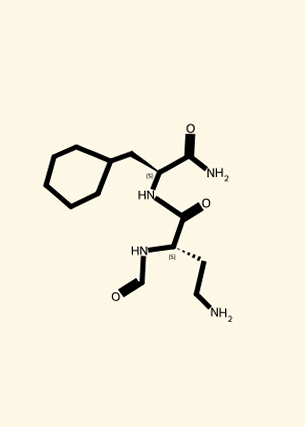 NCC[C@H](NC=O)C(=O)N[C@@H](CC1CCCCC1)C(N)=O